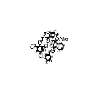 CCCN(CCOc1c(Cl)cc(Cl)cc1Cl)C(=O)n1ccnc1.COC(=O)[C@@H]1CCCCN1C(=O)OCc1ccccc1